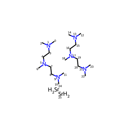 CN(C)CCN(C)CCN(C)C.CN(C)CCN(C)CCN(C)C.[SrH2].[SrH2]